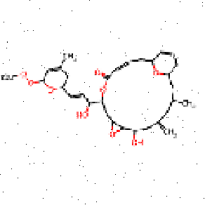 C=C1CC(C)CC2CC=CC(C/C=C\C(=O)OC(C(O)/C=C/C3CC(C)=CC(OOC(C)(C)C)O3)CC3OC3C(O)C1)O2